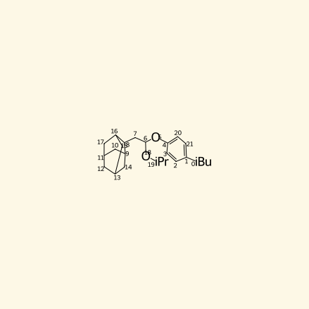 CCC(C)c1ccc(OC(CC2C3CC4CC(C3)CC2C4)OC(C)C)cc1